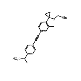 Cc1cc(C#Cc2ccc(C(C)C(=O)O)cc2)ccc1C1(OCC(C)(C)C)CC1